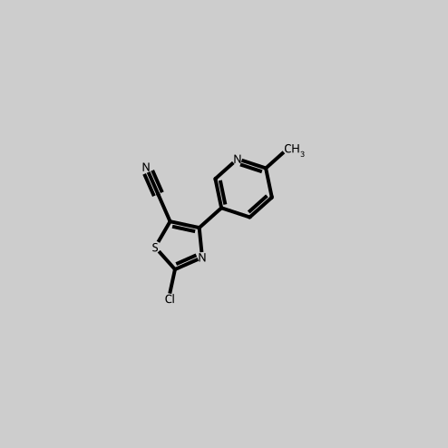 Cc1ccc(-c2nc(Cl)sc2C#N)cn1